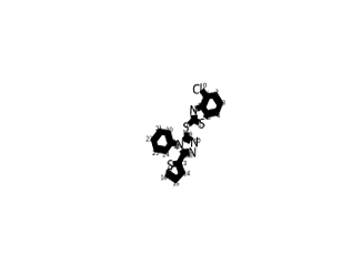 Clc1cccc2sc(Sc3nnc(-c4cccs4)n3-c3ccccc3)nc12